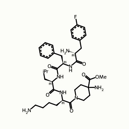 COC(=O)C1(N)CCN(C(=O)[C@@H](CCCCN)NC(=O)[C@@H](CC(C)C)NC(=O)[C@@H](Cc2ccccc2)NC(=O)[C@H](N)Cc2ccc(F)cc2)CC1